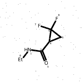 [CH2]CNC(=O)C1CC1(F)F